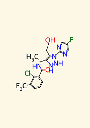 C[C@@H](NC(=O)c1cccc(C(F)(F)F)c1Cl)C1=C(CCO)N(c2ncc(F)cn2)NN1